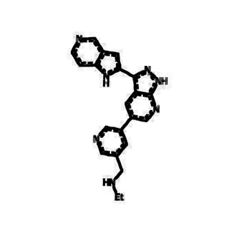 CCNCc1cncc(-c2cnc3[nH]nc(-c4cc5cnccc5[nH]4)c3c2)c1